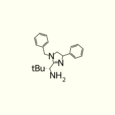 CC(C)(C)[C@@H](N)C1=NC(c2ccccc2)CN1Cc1ccccc1